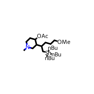 CCC[CH2][Sn]([CH2]CCC)([CH2]CCC)[CH2]C(CCCOC)C1CN(C)CCC1OC(C)=O